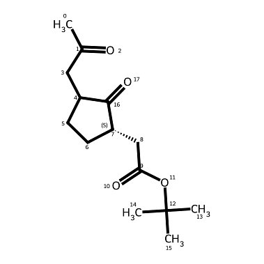 CC(=O)CC1CC[C@@H](CC(=O)OC(C)(C)C)C1=O